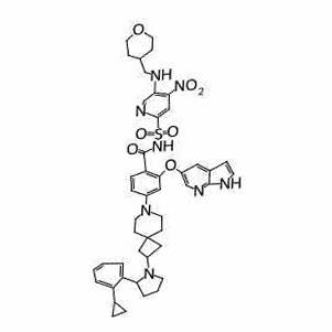 O=C(NS(=O)(=O)c1cc([N+](=O)[O-])c(NCC2CCOCC2)cn1)c1ccc(N2CCC3(CC2)CC(N2CCCC2c2ccccc2C2CC2)C3)cc1Oc1cnc2[nH]ccc2c1